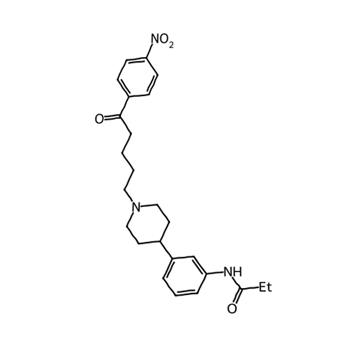 CCC(=O)Nc1cccc(C2CCN(CCCCC(=O)c3ccc([N+](=O)[O-])cc3)CC2)c1